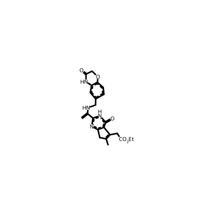 C=C(NCc1ccc2c(c1)NC(=O)CO2)c1nc2c(c(=O)[nH]1)C(CC(=O)OCC)=C(C)C2